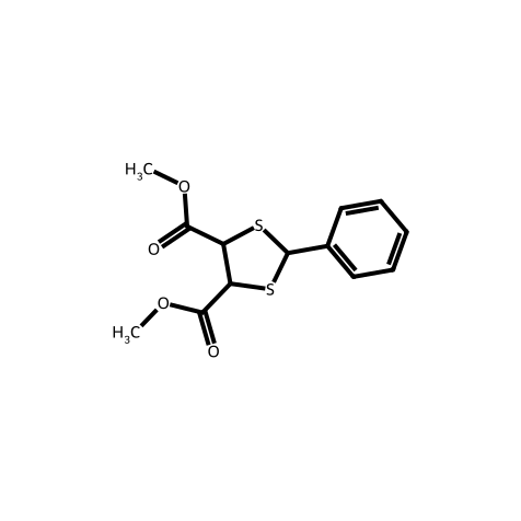 COC(=O)C1SC(c2ccccc2)SC1C(=O)OC